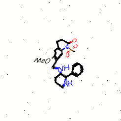 COc1cc2c(cc1CNC1CCCNC1c1ccccc1)N(S(C)(=O)=O)C(=O)CC2